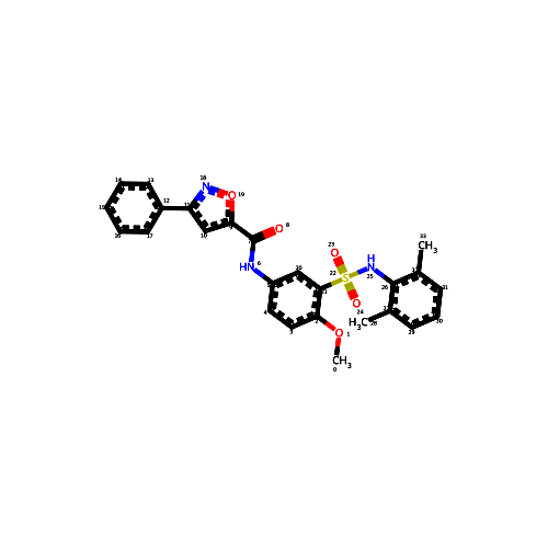 COc1ccc(NC(=O)c2cc(-c3ccccc3)no2)cc1S(=O)(=O)Nc1c(C)cccc1C